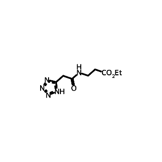 CCOC(=O)CCNC(=O)Cc1nnn[nH]1